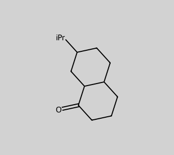 CC(C)C1CCC2CCCC(=O)C2C1